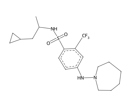 CC(CC1CC1)NS(=O)(=O)c1ccc(NN2CCCCCC2)cc1C(F)(F)F